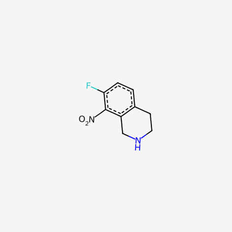 O=[N+]([O-])c1c(F)ccc2c1CNCC2